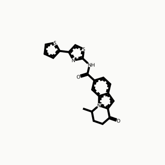 CC1CCC(=O)c2cc3ccc(C(=O)Nc4nc(-c5cccs5)cs4)cc3n21